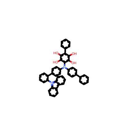 Oc1c(O)c(N(c2ccc(-c3ccccc3)cc2)c2ccc(-c3ccccc3-n3c4ccccc4c4ccccc43)cc2)c(O)c(O)c1-c1ccccc1